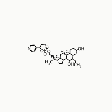 CC[C@@H]1C2C[C@H](O)CC[C@]2(C)C2CC[C@@]3(C)C(CC[C@@H]3[C@H](C)CCO[P@@]3(=O)OCC[C@H](c4ccncc4)O3)C2[C@@H]1O